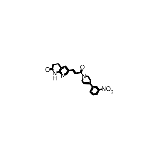 O=C1CCc2cc(C=CC(=O)N3CC=C(c4cccc([N+](=O)[O-])c4)CC3)cnc2N1